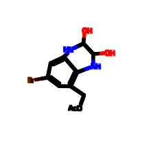 CC(=O)OCc1cc(Br)cc2c1NC(O)C(O)N2